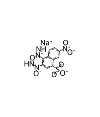 N=[N+]([O-])c1cc(S(=O)(=O)[O-])c2cc([N+](=O)[O-])ccc2c1[N+](=N)[O-].[Na+]